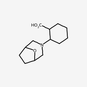 O=C(O)C1CCCCC1N1CC2CCC(C1)O2